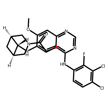 C=CC(=O)N1C[C@H]2C[C@@H](C1)[C@@H]2Nc1cc2c(Nc3ccc(Cl)c(Cl)c3F)ncnc2cc1OC